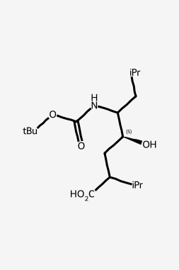 CC(C)CC(NC(=O)OC(C)(C)C)[C@@H](O)CC(C(=O)O)C(C)C